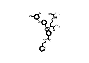 N=C(N)NCCCC(C(N)=O)n1c(-c2cccc(Oc3cc(Cl)cc(Cl)c3)c2)nc2cc(C(=O)NCCc3ccccn3)ccc21